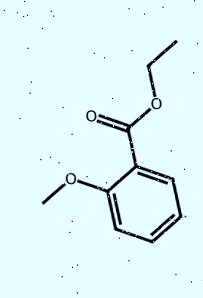 CCOC(=O)c1c[c]ccc1OC